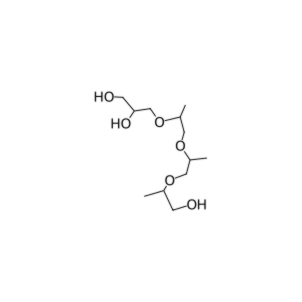 CC(CO)OCC(C)OCC(C)OCC(O)CO